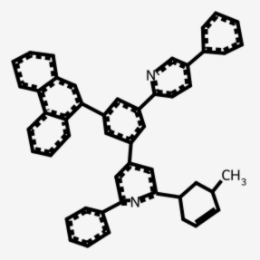 CC1C=CCC(c2cc(-c3cc(-c4ccc(-c5ccccc5)cn4)cc(-c4cc5ccccc5c5ccccc45)c3)cc(-c3ccccc3)n2)C1